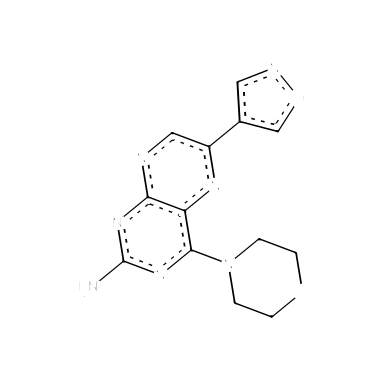 Nc1nc(N2CCOCC2)c2nc(-c3cnoc3)cnc2n1